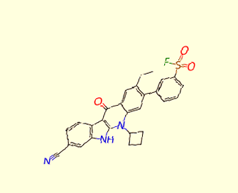 CCc1cc2c(=O)c3c4ccc(C#N)cc4[nH]c3n(C3CCC3)c2cc1-c1cccc(S(=O)(=O)F)c1